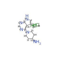 Cc1c[nH]c2ncnc(N3CCC(N)CC3)c12.Cl.Cl